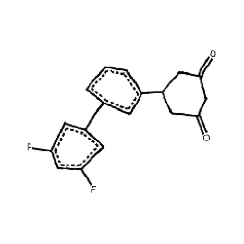 O=C1CC(=O)CC(c2cccc(-c3cc(F)cc(F)c3)c2)C1